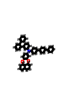 c1ccc(-c2ccc(-c3ccc(N(c4cccc(-c5ccccc5-c5ccccc5)c4)c4ccc5c(c4)Oc4cccc6cccc(c46)O5)cc3)cc2)cc1